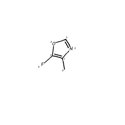 Cc1ncoc1F